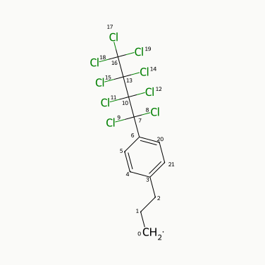 [CH2]CCc1ccc(C(Cl)(Cl)C(Cl)(Cl)C(Cl)(Cl)C(Cl)(Cl)Cl)cc1